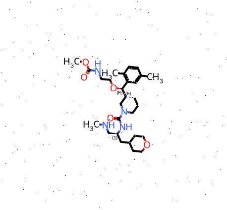 CNC[C@H](CC1CCOCC1)NC(=O)N1CCC[C@@H]([C@@H](OCCNC(=O)OC)c2cc(C)ccc2C)C1